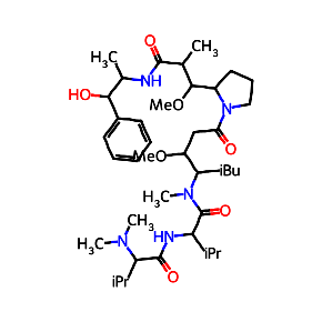 CCC(C)C(C(CC(=O)N1CCCC1C(OC)C(C)C(=O)NC(C)C(O)c1ccccc1)OC)N(C)C(=O)C(NC(=O)C(C(C)C)N(C)C)C(C)C